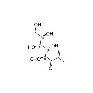 C=C(C)C(=O)[C@@H](C=O)[C@@H](O)[C@H](O)[C@H](O)CO